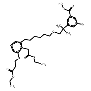 CCOC(=O)CCOc1cccc(CCCCCCOCC(C)(C)c2cc(Br)cc(C(=O)OO)c2)c1CC(=O)OCC